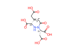 CC(=O)N(N[C@@H](CCC(=O)O)C(=O)O)[C@@H](CC(=O)O)C(=O)O